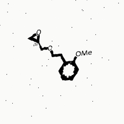 COc1ccccc1CCOC[C@H]1CO1